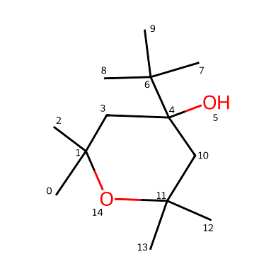 CC1(C)CC(O)(C(C)(C)C)CC(C)(C)O1